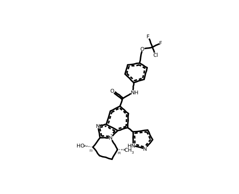 C[C@@H]1CC[C@H](O)c2nc3cc(C(=O)Nc4ccc(OC(F)(F)Cl)cc4)cc(-c4ccn[nH]4)c3n21